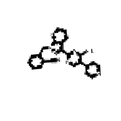 N#Cc1ccccc1Cn1nc(-c2ncc(-c3ccncc3)c(N)n2)c2cccnc21